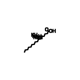 CCCCCCCCCCCCCCCC(=O)O.[KH].[NaH].[NaH]